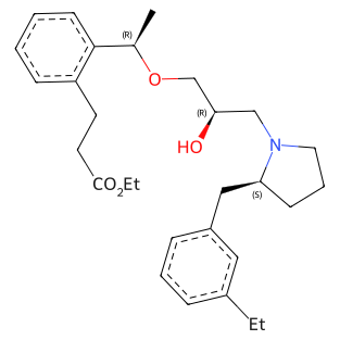 CCOC(=O)CCc1ccccc1[C@@H](C)OC[C@H](O)CN1CCC[C@H]1Cc1cccc(CC)c1